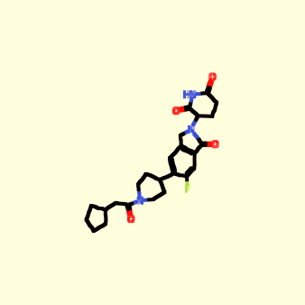 O=C1CCC(N2Cc3cc(C4CCN(C(=O)CC5CCCC5)CC4)c(F)cc3C2=O)C(=O)N1